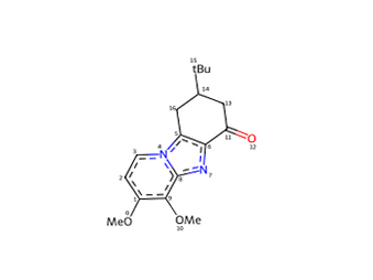 COc1ccn2c3c(nc2c1OC)C(=O)CC(C(C)(C)C)C3